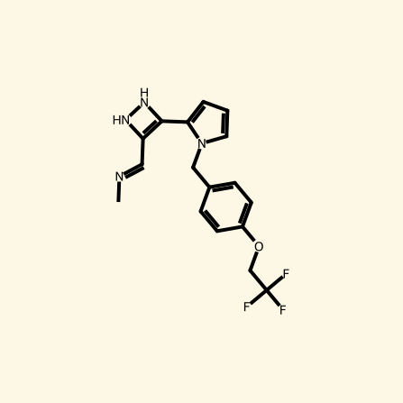 C/N=C/c1[nH][nH]c1-c1cccn1Cc1ccc(OCC(F)(F)F)cc1